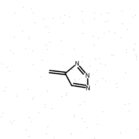 C=C1C=NN=N1